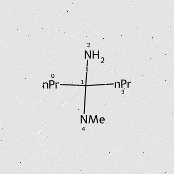 CCCC(N)(CCC)NC